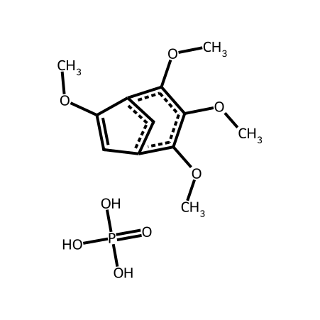 COC1=Cc2cc1c(OC)c(OC)c2OC.O=P(O)(O)O